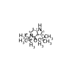 CC(C)(C)c1c[nH]c2ccn(C(C)(C)C)c(=O)c12